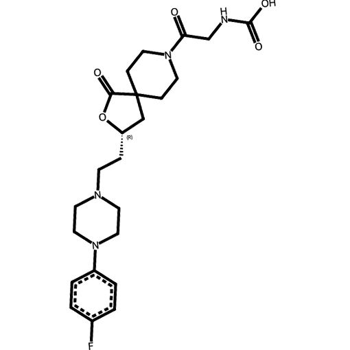 O=C(O)NCC(=O)N1CCC2(CC1)C[C@H](CCN1CCN(c3ccc(F)cc3)CC1)OC2=O